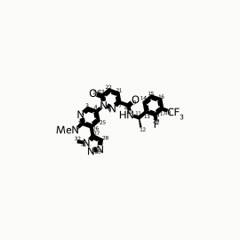 CNc1ncc(-n2nc(C(=O)N[C@H](C)c3cccc(C(F)(F)F)c3F)ccc2=O)cc1-c1cnnn1C